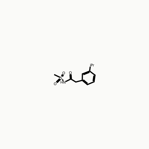 CC(C)c1cccc(CC(=O)NS(C)(=O)=O)c1